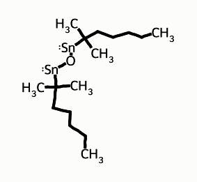 CCCCC[C](C)(C)[Sn][O][Sn][C](C)(C)CCCCC